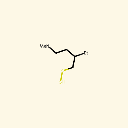 CCC(CCNC)CSS